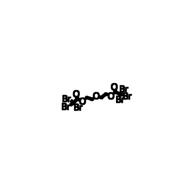 O=C(OCCOCCOC(=O)C(Br)(Br)Br)C(Br)(Br)Br